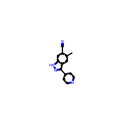 Cc1cc2c(-c3ccncc3)n[nH]c2cc1C#N